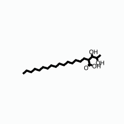 CCCCCCCCCCCCCCCCC(C(=O)O)C(O)C(C)O